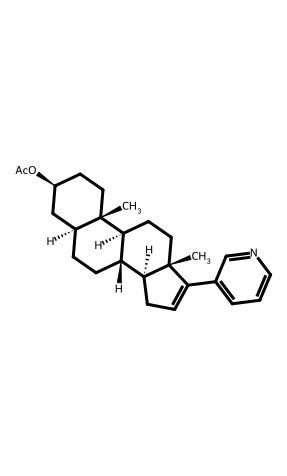 CC(=O)O[C@H]1CC[C@@]2(C)[C@@H](CC[C@@H]3[C@@H]2CC[C@]2(C)C(c4cccnc4)=CC[C@@H]32)C1